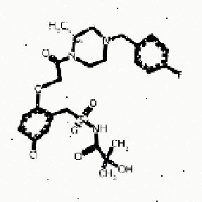 C[C@@H]1CN(Cc2ccc(F)cc2)CCN1C(=O)COc1ccc(Cl)cc1CS(=O)(=O)NC(=O)C(C)(C)O